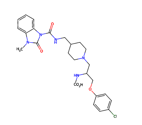 Cn1c(=O)n(C(=O)NCC2CCN(CC(COc3ccc(Cl)cc3)NC(=O)O)CC2)c2ccccc21